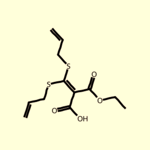 C=CCSC(SCC=C)=C(C(=O)O)C(=O)OCC